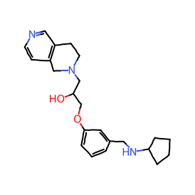 OC(COc1cccc(CNC2CCCC2)c1)CN1CCc2cnccc2C1